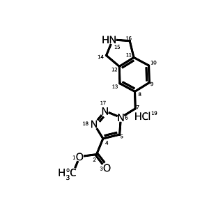 COC(=O)c1cn(Cc2ccc3c(c2)CNC3)nn1.Cl